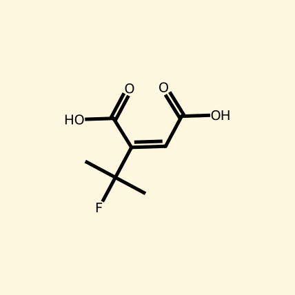 CC(C)(F)/C(=C/C(=O)O)C(=O)O